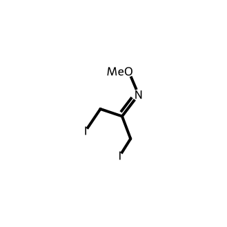 CON=C(CI)CI